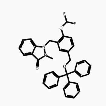 Cn1c(=O)c2ccccc2n1Cc1cc(COC(c2ccccc2)(c2ccccc2)c2ccccc2)ccc1OC(F)F